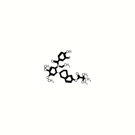 CCN(C(=O)c1ccc(O)c(F)c1)C1C=C(OC)C(OC)=CC1[C@@H]1CCc2cc(OC(=O)C(C)(C)C)ccc2C1